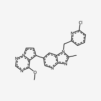 COc1ncnn2ccc(-c3cnc4nc(C)n(Cc5cccc(Cl)n5)c4c3)c12